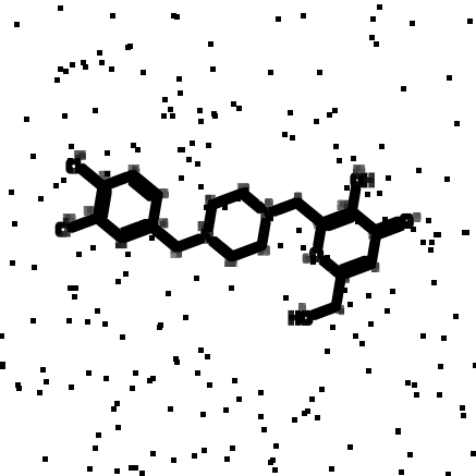 O=c1cc(CO)oc(CN2CCN(Cc3ccc(Cl)c(Cl)c3)CC2)c1O